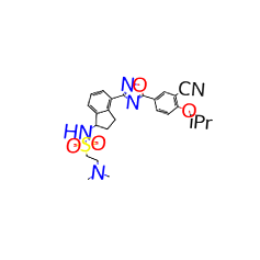 CC(C)Oc1ccc(-c2nc(-c3cccc4c3CCC4NS(=O)(=O)CCN(C)C)no2)cc1C#N